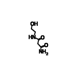 NC(=O)CC(=O)NCCO